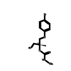 CC(C)C[C@@](C)(COc1ccc(Br)cc1)OC(=O)NC(C)(C)C